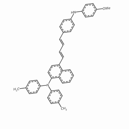 COc1ccc(Nc2ccc(/C=C/C=C/c3ccc(N(c4ccc(C)cc4)c4ccc(C)cc4)c4ccccc34)cc2)cc1